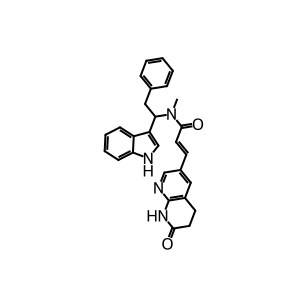 CN(C(=O)/C=C/c1cnc2c(c1)CCC(=O)N2)C(Cc1ccccc1)c1c[nH]c2ccccc12